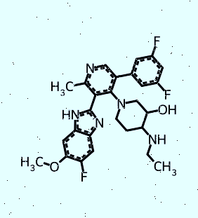 CCNC1CCN(c2c(-c3cc(F)cc(F)c3)cnc(C)c2-c2nc3cc(F)c(OC)cc3[nH]2)CC1O